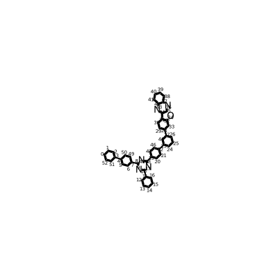 c1ccc(-c2ccc(-c3nc(-c4ccccc4)nc(-c4ccc(-c5cccc(-c6ccc7c(c6)oc6nc8ccccc8nc67)c5)cc4)n3)cc2)cc1